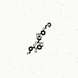 Cc1ccc(NC(=O)c2cccc(CF)c2)cc1NC(=O)c1cnc(Nc2cccc(OCCN3CCCC3)c2)nc1